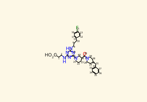 O=C(O)CCNc1nc(NCCCc2ccc(F)cc2)nc(N2CCCC(C(=O)N3CCC(Cc4ccccc4)CC3)C2)n1